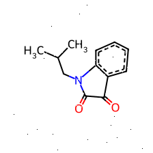 CC(C)CN1C(=O)C(=O)c2ccccc21